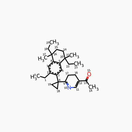 CCc1cc2c(cc1C1(C3=NC=C(C(C)=O)CC3)CC1)C(C)(CC)CCC2(C)CC